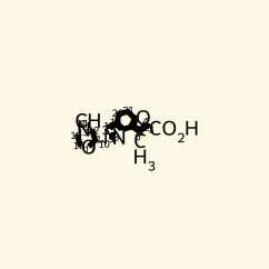 Cc1c(C(=O)O)oc2c1-c1nn(C[C@H]3CN(C)CCO3)cc1CC2